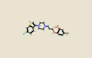 CC(=O)c1ccc(OCCCN2CCN(c3csc4cc(F)ccc34)CC2)c(O)c1